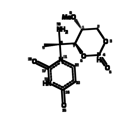 CO[C@@H]1CO[PH](=O)O[C@H]1[C@@](C)(N)n1ccc(=O)[nH]c1=O